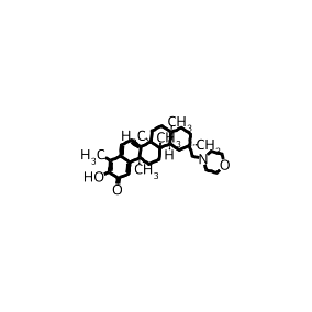 CC1=C(O)C(=O)C=C2C1=CC=C1[C@@]2(C)CC[C@@]2(C)[C@@H]3C[C@](C)(CN4CCOCC4)CC[C@]3(C)CC[C@]12C